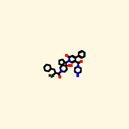 CC(CC1CCCCC1)C(=O)N1CCC(O)(Cn2cc(C(=O)N3CCNCC3)c(-c3ccccc3)cc2=O)C2(CCCC2)C1